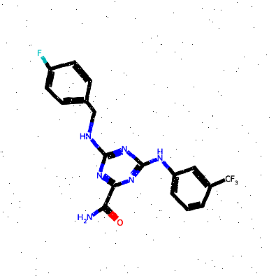 NC(=O)c1nc(NCc2ccc(F)cc2)nc(Nc2cccc(C(F)(F)F)c2)n1